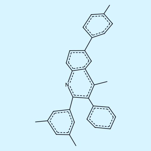 Cc1ccc(-c2ccc3nc(-c4cc(C)cc(C)c4)c(-c4ccccc4)c(C)c3c2)cc1